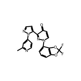 Cc1cc(-n2nccc2-c2nn(-c3cccc4c3OC(F)(F)O4)ccc2=O)ccn1